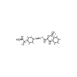 O=C(NCC#Cc1ccc(C(=S)NO)cc1)Nc1ccccc1OC(F)(F)F